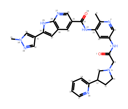 Cc1ncc(NC(=O)CN2CCC(c3ccccn3)C2)cc1NC(=O)c1cnc2[nH]c(-c3cnn(C)c3)cc2c1